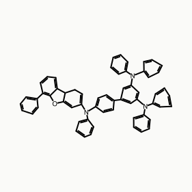 C1=C2Oc3c(-c4ccccc4)cccc3C2CC=C1N(c1ccccc1)c1ccc(-c2cc(N(c3ccccc3)c3ccccc3)cc(N(c3ccccc3)c3ccccc3)c2)cc1